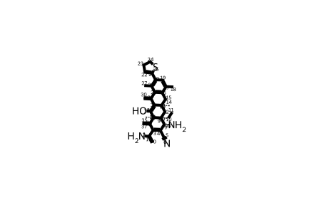 C=C(N)C1=C(C#N)[C@@H](N)[C@]2(CC)C[C@]3(C)Cc4c(C)cc(C5=CCCS5)c(C)c4C(=C)C3=C(O)[C@]2(C)C1=C